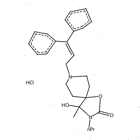 CCCN1C(=O)OC2(CCN(CC=C(c3ccccc3)c3ccccc3)CC2)C1(C)O.Cl